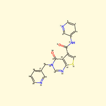 O=C(Nc1cccnc1)c1csc2ncn(Cc3cccnc3)c(=O)c12